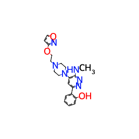 CNc1nnc(-c2ccccc2O)cc1N1CCN(CCOc2ccon2)CC1